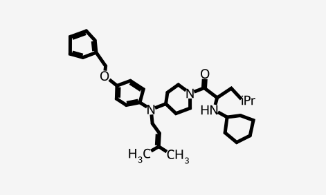 CC(C)=CCN(c1ccc(OCc2ccccc2)cc1)C1CCN(C(=O)C(CC(C)C)NC2CCCCC2)CC1